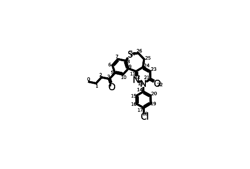 CCCC(=O)c1ccc2c(c1)-c1nn(-c3ccc(Cl)cc3)c(=O)cc1CCS2